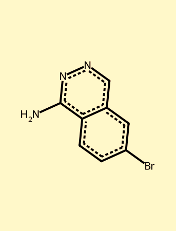 Nc1nncc2cc(Br)ccc12